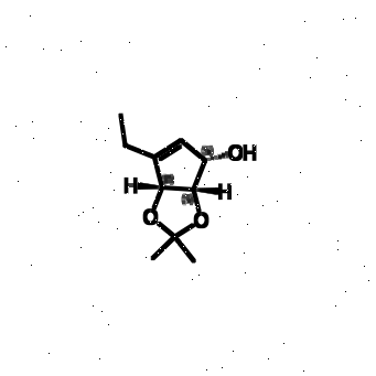 CCC1=C[C@H](O)[C@@H]2OC(C)(C)O[C@H]12